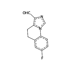 O=Cc1ncn2c1CCc1cc(F)ccc1-2